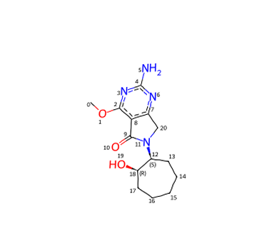 COc1nc(N)nc2c1C(=O)N([C@H]1CCCCC[C@H]1O)C2